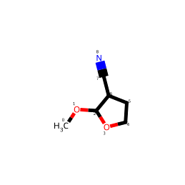 COC1OCCC1C#N